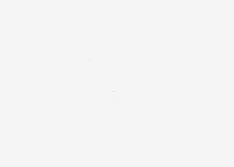 N#CCCSN1C(=O)c2ccccc2C1=O